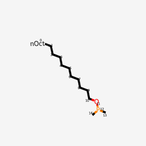 CCCCCCCCCCCCCCCCCCOP(C)C